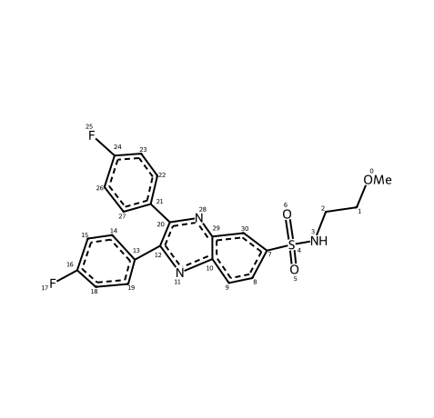 COCCNS(=O)(=O)c1ccc2nc(-c3ccc(F)cc3)c(-c3ccc(F)cc3)nc2c1